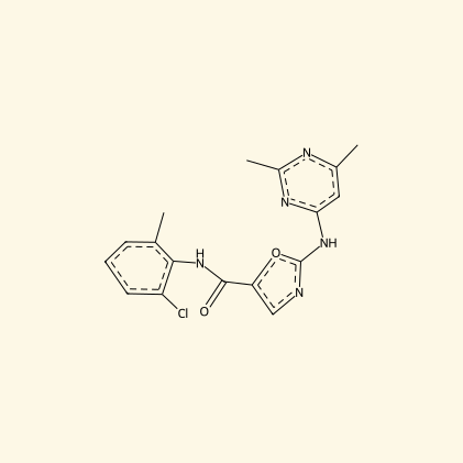 Cc1cc(Nc2ncc(C(=O)Nc3c(C)cccc3Cl)o2)nc(C)n1